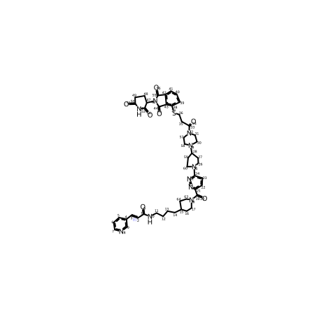 O=C(/C=C/c1cccnc1)NCCCCC1CCN(C(=O)c2ccc(N3CCC(N4CCN(C(=O)CCSc5cccc6c5C(=O)N(C5CCC(=O)NC5=O)C6=O)CC4)CC3)nn2)CC1